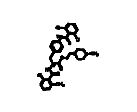 Cc1cccc(Cl)c1C(=O)N[C@@H](Cc1ccc(NC(=O)c2c(Cl)cccc2Cl)cc1)C(=O)OCCN1CCN(C)CC1